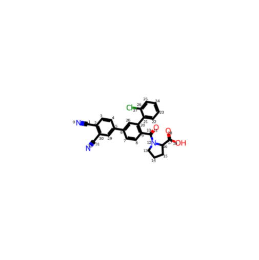 N#Cc1ccc(-c2ccc(C(=O)N3CCCC3C(=O)O)c(-c3ccccc3Cl)c2)cc1C#N